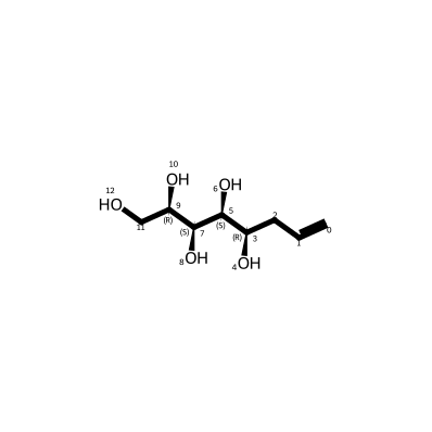 C=CC[C@@H](O)[C@H](O)[C@@H](O)[C@H](O)CO